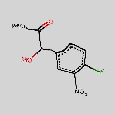 COC(=O)C(O)c1ccc(F)c([N+](=O)[O-])c1